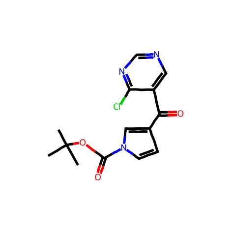 CC(C)(C)OC(=O)n1ccc(C(=O)c2cncnc2Cl)c1